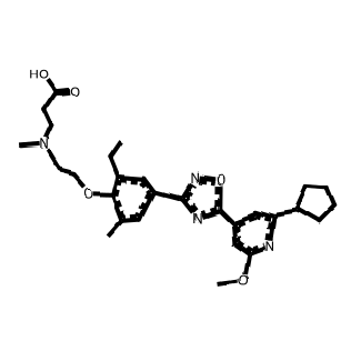 CCc1cc(-c2noc(-c3cc(OC)nc(C4CCCC4)c3)n2)cc(C)c1OCCN(C)CCC(=O)O